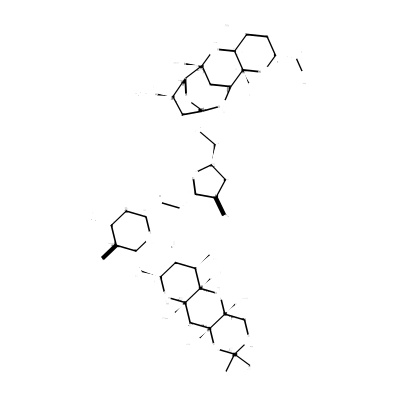 C=C1C[C@H](CC[C@]23C[C@@H](OC)C(O2)[C@H]2CC(O3)[C@H]3O[C@@H](CC(=O)O)CC[C@@H]3O2)O[C@H]1CC[C@H]1C[C@@H](C)C(=C)[C@@H](C[C@@H]2O[C@H]3C[C@H]4OC(C)(C)OC[C@H]4O[C@H]3[C@H](C)[C@H]2O)O1